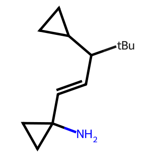 CC(C)(C)C(C=CC1(N)CC1)C1CC1